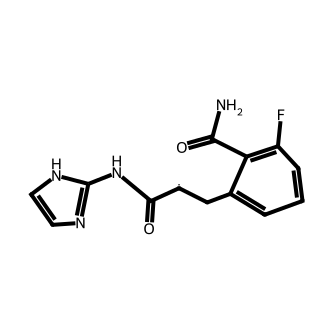 NC(=O)c1c(F)cccc1C[CH]C(=O)Nc1ncc[nH]1